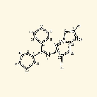 Cc1cn2cc(N=C(c3ccccc3)c3ccccc3)c(F)cc2n1